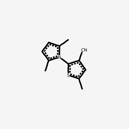 Cc1cc(C#N)c(-n2c(C)ccc2C)s1